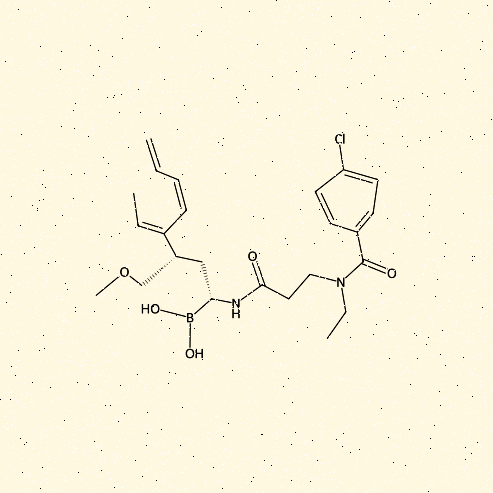 C=C/C=C\C(=C/C)[C@@H](COC)C[C@H](NC(=O)CCN(CC)C(=O)c1ccc(Cl)cc1)B(O)O